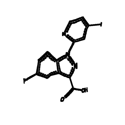 O=C(O)c1nn(-c2cc(I)ccn2)c2ccc(F)cc12